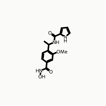 COc1cc(C(=O)NO)ccc1C(C)NC(=O)c1ccc[nH]1